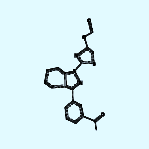 CC(=O)c1cccc(-c2nn(-c3nc(OC=O)cs3)c3ccccc23)c1